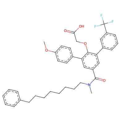 COc1ccc(-c2cc(C(=O)N(C)CCCCCCCCc3ccccc3)cc(-c3cccc(C(F)(F)F)c3)c2OCC(=O)O)cc1